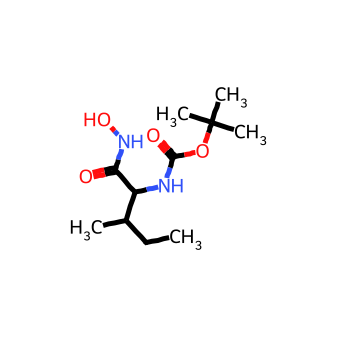 CCC(C)C(NC(=O)OC(C)(C)C)C(=O)NO